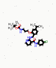 CC(C)c1ccc(CNc2ncccc2C(=O)Nc2ccc(Cl)cc2)c(OCCCNC(=O)OC(C)(C)C)c1